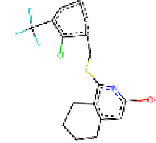 Oc1cc2c(c(SCc3cccc(C(F)(F)F)c3Cl)n1)CCCC2